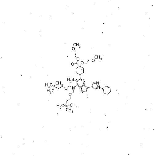 Bc1c(C2CCC(OCCOC)(C(=O)OCCOC)CC2)nc2c(-c3cnn(C4=CCCC=C4)c3)cnn2c1N(COCC[Si](C)(C)C)COCC[Si](C)(C)C